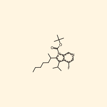 CCCCCC(C)c1c(C(C)C)c2c(F)cncc2n1C(=O)OC(C)(C)C